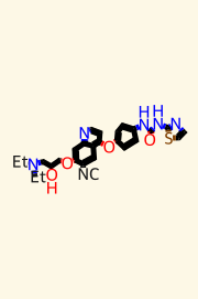 [C-]#[N+]c1cc2c(Oc3ccc(NC(=O)Nc4nccs4)cc3)ccnc2cc1OC[C@H](O)CN(CC)CC